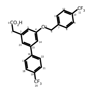 O=C(O)Cc1cc(OCc2ccc(C(F)(F)F)cc2)cc(-c2ccc(C(F)(F)F)cc2)c1